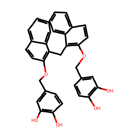 Oc1ccc(COc2ccc3ccccc3c2Cc2c(OCc3ccc(O)c(O)c3)ccc3ccccc23)cc1O